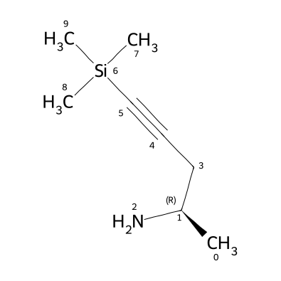 C[C@@H](N)CC#C[Si](C)(C)C